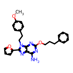 COc1ccc(CCn2c(-c3ccco3)nc3c(N)nc(OCCCc4ccccc4)nc32)cc1